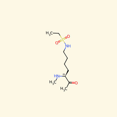 CCS(=O)(=O)NCCCC[C@H](NC)C(C)=O